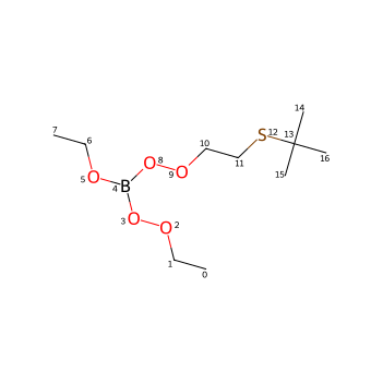 CCOOB(OCC)OOCCSC(C)(C)C